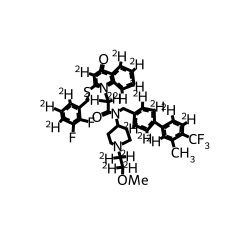 [2H]c1c([2H])c(F)c(F)c(CSc2c([2H])c(=O)c3c([2H])c([2H])c([2H])c([2H])c3n2C([2H])([2H])C(=O)N(Cc2c([2H])c([2H])c(-c3c([2H])c([2H])c(C(F)(F)F)c(C)c3[2H])c([2H])c2[2H])C2CCN(C([2H])([2H])C([2H])([2H])OC)CC2)c1[2H]